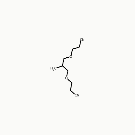 CC(COCCC#N)COCCC#N